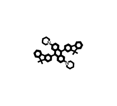 CC1(C)c2ccccc2-c2cc(-c3c4ccc(N5CCCCC5)cc4c(-c4ccc5c(c4)C(C)(C)c4ccccc4-5)c4ccc(N5CCCCC5)cc34)ccc21